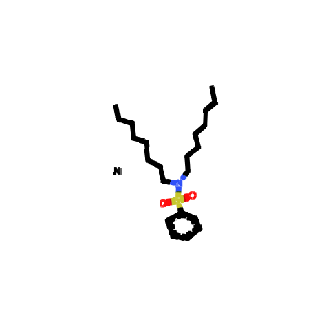 CCCCCCCCN(CCCCCCCC)S(=O)(=O)c1ccccc1.[Ni]